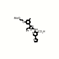 COCCOc1cc(C)cc(-c2nc(Nc3ncc(-c4cccs4)cc3C(=O)O)sc2CC(C)C)c1